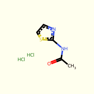 CC(=O)Nc1nccs1.Cl.Cl